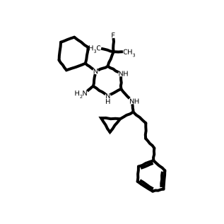 CC(C)(F)C1NC(NC(CCCc2ccccc2)C2CC2)NC(N)N1C1CCCCC1